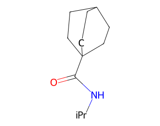 CC(C)NC(=O)C12CCC(CC1)CC2